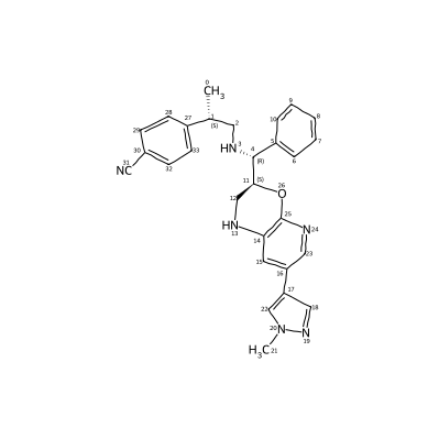 C[C@H](CN[C@H](c1ccccc1)[C@@H]1CNc2cc(-c3cnn(C)c3)cnc2O1)c1ccc(C#N)cc1